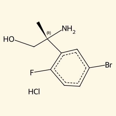 C[C@](N)(CO)c1cc(Br)ccc1F.Cl